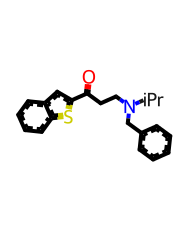 CC(C)N(CCC(=O)c1cc2ccccc2s1)Cc1ccccc1